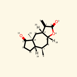 C=C1C(=O)O[C@@H]2C[C@@H](C)[C@@H]3CCC(=O)[C@@]3(C)C[C@H]12